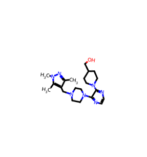 Cc1nn(C)c(C)c1CN1CCN(c2nccnc2N2CCC(CO)CC2)CC1